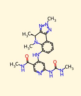 CNC(=O)Nc1cc(Nc2cccc3c2N(C)[C@@H](C)c2nn(C)nc2-3)c(C(=O)NC)cn1